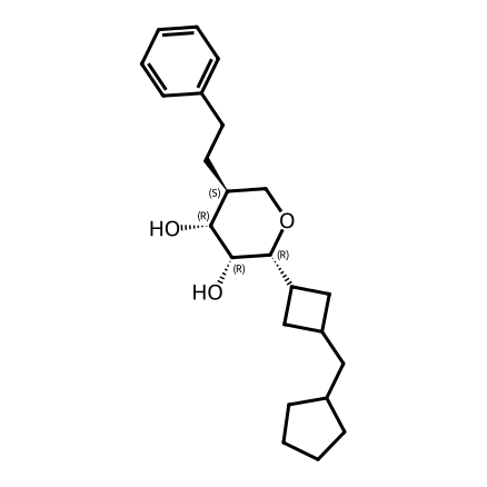 O[C@@H]1[C@@H](CCc2ccccc2)CO[C@H](C2CC(CC3CCCC3)C2)[C@@H]1O